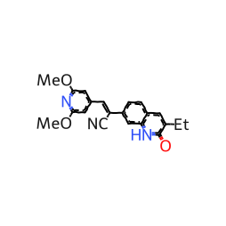 CCc1cc2ccc(/C(C#N)=C/c3cc(OC)nc(OC)c3)cc2[nH]c1=O